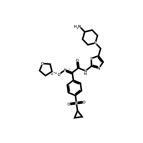 NC1CCN(Cc2cnc(NC(=O)/C(=N/O[C@@H]3CCOC3)c3ccc(S(=O)(=O)C4CC4)cc3)s2)CC1